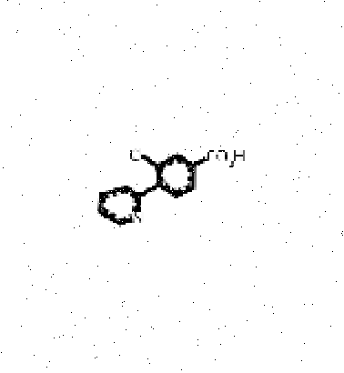 O=C(O)c1ccc(-c2ccccn2)c(Cl)c1